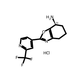 Cl.N[C@H]1CCCc2nc(-c3ccnc(C(F)(F)F)c3)oc21